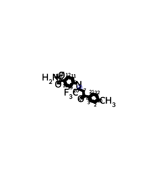 Cc1ccc(C(=O)C/C(=N/c2ccc(S(N)(=O)=O)cc2)C(F)(F)F)cc1